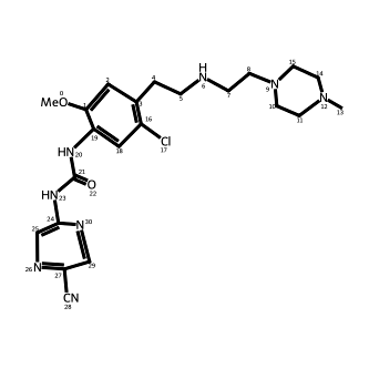 COc1cc(CCNCCN2CCN(C)CC2)c(Cl)cc1NC(=O)Nc1cnc(C#N)cn1